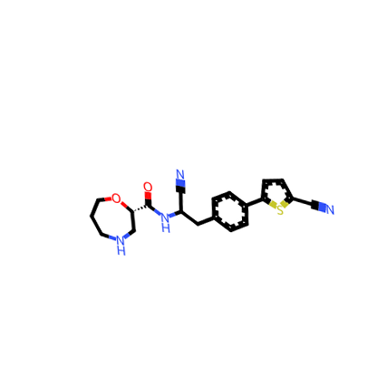 N#Cc1ccc(-c2ccc(CC(C#N)NC(=O)[C@@H]3CNCCCO3)cc2)s1